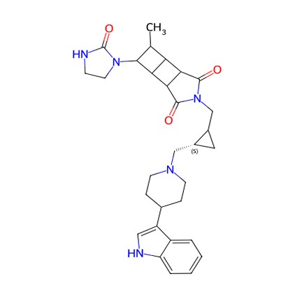 CC1C2C3C(=O)N(CC4C[C@@H]4CN4CCC(c5c[nH]c6ccccc56)CC4)C(=O)C3C2C1N1CCNC1=O